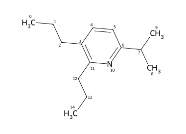 CCCc1ccc(C(C)C)nc1CCC